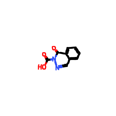 O=C(O)n1ncc2ccccc2c1=O